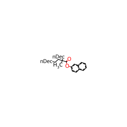 CCCCCCCCCCCCC(C)(CCCCCCCCCC)C(=O)Oc1ccc2ccccc2c1